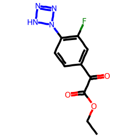 CCOC(=O)C(=O)c1ccc(-n2nn[nH]2)c(F)c1